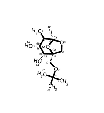 CC1[C@H]2OC[C@](COC(C)(C)C)(O2)[C@H](O)[C@@H]1O